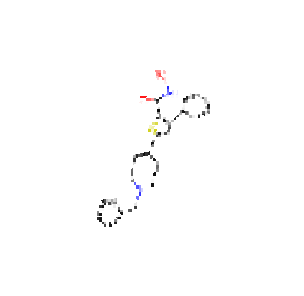 O=C(NO)c1sc(C2CCN(Cc3ccccc3)CC2)cc1-c1ccccc1